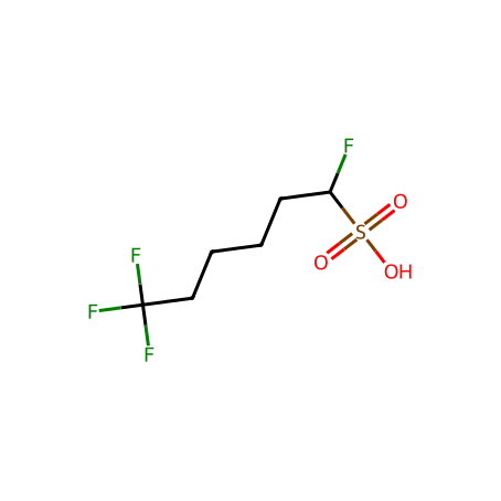 O=S(=O)(O)C(F)CCCCC(F)(F)F